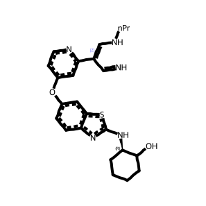 CCCN/C=C(\C=N)c1cc(Oc2ccc3nc(N[C@@H]4CCCCC4O)sc3c2)ccn1